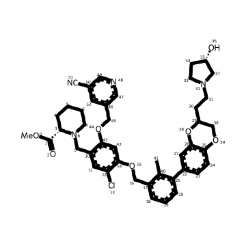 COC(=O)[C@@H]1CCCCN1Cc1cc(Cl)c(OCc2cccc(-c3ccc4c(c3)OC(CCN3CC[C@H](O)C3)CO4)c2C)cc1OCc1cncc(C#N)c1